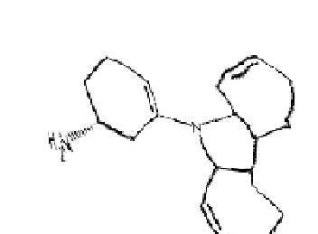 N[C@@H]1CCC=C(N2C3C=CCCC3C3CCC=CC32)C1